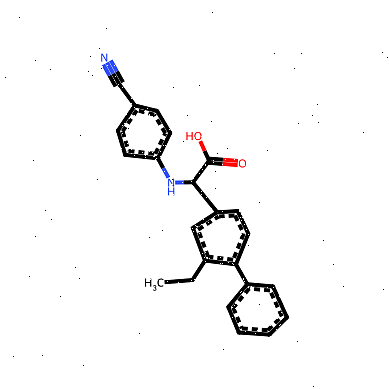 CCc1cc(C(Nc2ccc(C#N)cc2)C(=O)O)ccc1-c1ccccc1